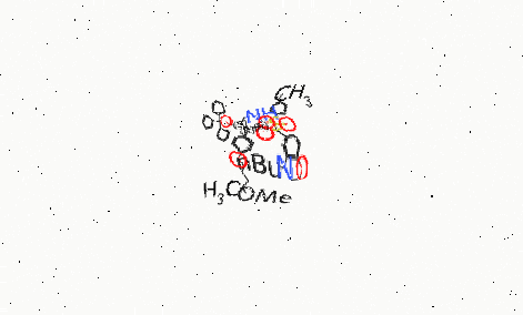 CCCCN1CCOc2ccc(C(O[C@H]3CNC[C@@H](COC(c4ccccc4)(c4ccccc4)c4ccccc4)[C@@H]3c3ccc(OCCCC(C)OC)cc3)S(=O)(=O)c3ccc(C)cc3)cc21